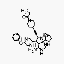 C=CC(=O)N1CCC(C#CC2C(C3CNC(Oc4ccccc4)CN3)C3C(N)NCNC3(C3CCCC3)N2C(C)C)CC1